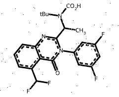 CC(c1nc2cccc(C(F)F)c2c(=O)n1-c1cc(F)cc(F)c1)N(C(=O)O)C(C)(C)C